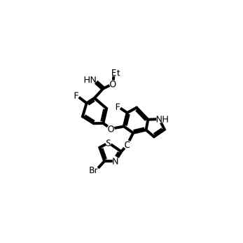 CCOC(=N)c1cc(Oc2c(F)cc3[nH]ccc3c2Cc2nc(Br)cs2)ccc1F